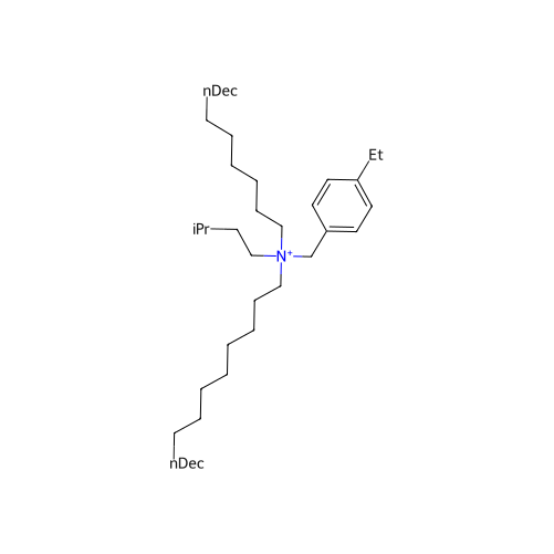 CCCCCCCCCCCCCCCCCC[N+](CCCCCCCCCCCCCCCC)(CCC(C)C)Cc1ccc(CC)cc1